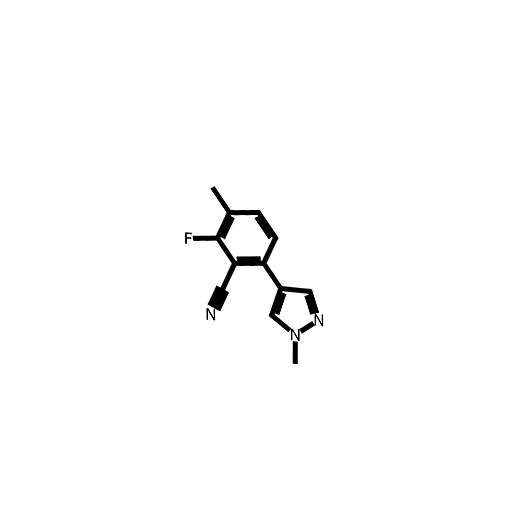 Cc1ccc(-c2cnn(C)c2)c(C#N)c1F